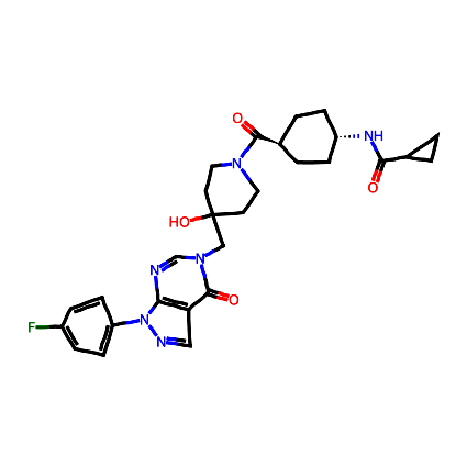 O=C(N[C@H]1CC[C@H](C(=O)N2CCC(O)(Cn3cnc4c(cnn4-c4ccc(F)cc4)c3=O)CC2)CC1)C1CC1